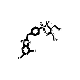 CCCOC(=O)[C@H](CC(C)C)N(C)S(=O)(=O)c1ccc(Cc2nc3c(Cl)nc(Cl)nc3[nH]2)cc1